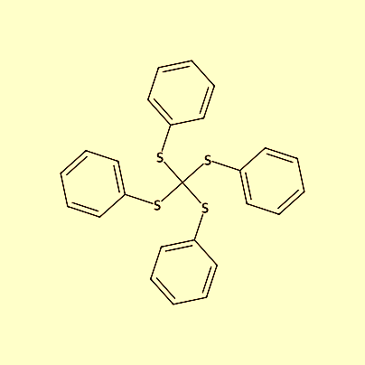 c1ccc(SC(Sc2ccccc2)(Sc2ccccc2)Sc2ccccc2)cc1